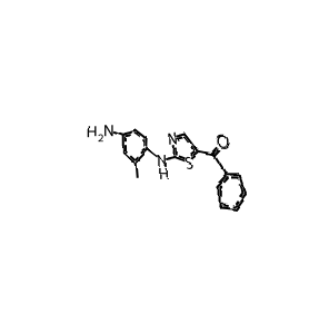 Cc1cc(N)ccc1Nc1ncc(C(=O)c2ccccc2)s1